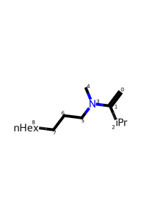 C=C(C(C)C)N(C)CCCCCCCCC